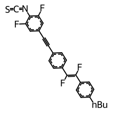 CCCCc1ccc(/C(F)=C(\F)c2ccc(C#Cc3cc(F)c(N=C=S)c(F)c3)cc2)cc1